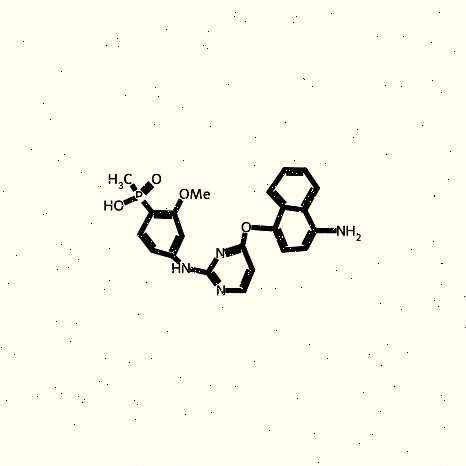 COc1cc(Nc2nccc(Oc3ccc(N)c4ccccc34)n2)ccc1P(C)(=O)O